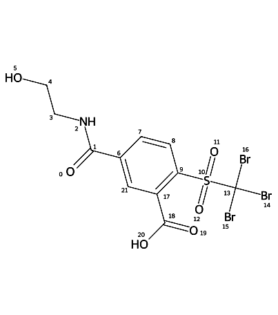 O=C(NCCO)c1ccc(S(=O)(=O)C(Br)(Br)Br)c(C(=O)O)c1